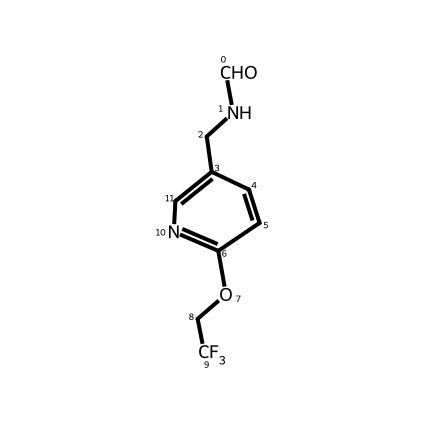 O=CNCc1ccc(OCC(F)(F)F)nc1